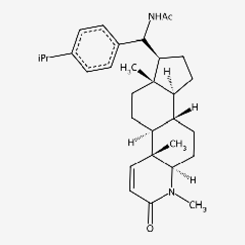 CC(=O)NC(c1ccc(C(C)C)cc1)[C@H]1CC[C@H]2[C@@H]3CC[C@H]4N(C)C(=O)C=C[C@]4(C)[C@H]3CC[C@]12C